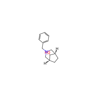 C[C@@]1(O)[C@@H]2CC[C@H]1CN(Cc1ccccc1)C2